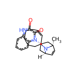 C[C@@]12C=C[C@@H](C[C@H](n3c(=O)c(=O)[nH]c4ccccc43)C1)N2C1/C=C\CCCCC1